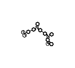 c1ccc(N(c2ccc(-c3ccc(N(c4ccccc4)c4ccc5oc6ccccc6c5c4)cc3)cc2)c2ccc(-c3ccc(C45CC6CCC4CCC(C6)C5)cc3)cc2)cc1